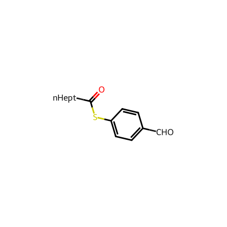 CCCCCCCC(=O)Sc1ccc(C=O)cc1